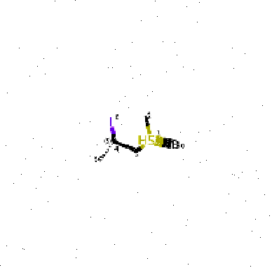 B#[SH](C)C[C@H](C)I